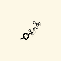 Cc1ccc(S(=O)(=O)OCO[PH](C)=O)cc1